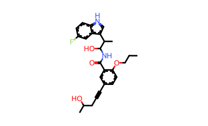 CCCOc1ccc(C#CCC(C)O)cc1C(=O)NC(O)C(C)c1c[nH]c2ccc(F)cc12